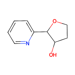 OC1CCOC1c1ccccn1